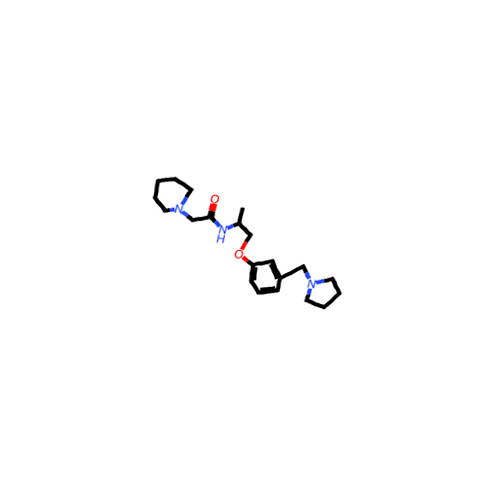 CC(COc1cccc(CN2CCCC2)c1)NC(=O)CN1CCCCC1